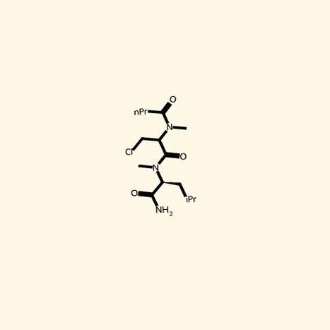 CCCC(=O)N(C)C(CCl)C(=O)N(C)[C@@H](CC(C)C)C(N)=O